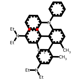 CCN(CC)c1ccc(-c2c(C)ccc(N(c3ccccc3)c3ccccc3)c2-c2ccc(N(CC)CC)cc2C)c(C)c1